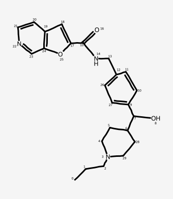 CCCN1CCC(C(O)c2ccc(CNC(=O)c3cc4ccncc4o3)cc2)CC1